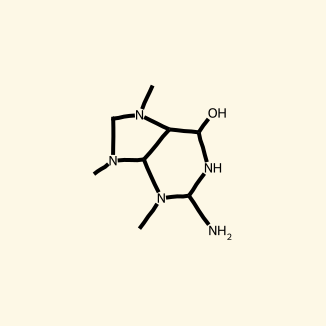 CN1CN(C)C2C1C(O)NC(N)N2C